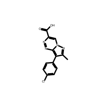 Cc1nn2cc(C(=O)O)nnc2c1-c1ccc(Cl)cc1